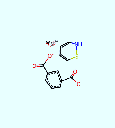 C1=CNSC=C1.O.O=C([O-])c1cccc(C(=O)[O-])c1.[Mg+2]